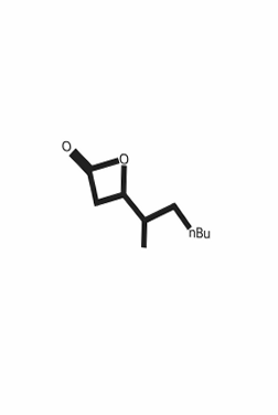 CCCCCC(C)C1CC(=O)O1